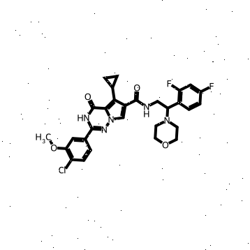 COc1cc(-c2nn3cc(C(=O)NCC(c4ccc(F)cc4F)N4CCOCC4)c(C4CC4)c3c(=O)[nH]2)ccc1Cl